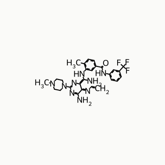 C=C/N=C1/C(N)=NC(N2CCN(C)CC2)=N/C1=C(/N)Nc1cc(C(=O)Nc2cccc(C(F)(F)F)c2)ccc1C